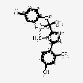 Cn1c(-c2ccc(C#N)cc2C(F)(F)F)nnc1C(C)(C)Oc1ccc(Cl)cc1